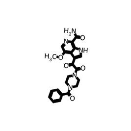 COc1cnc(C(N)=O)c2[nH]cc(C(=O)C(=O)N3CCN(C(=O)c4ccccc4)CC3)c12